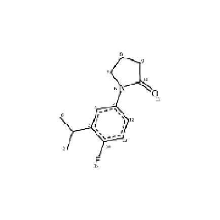 CC(C)c1cc(N2CCCC2=O)ccc1F